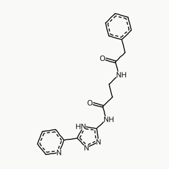 O=C(Cc1ccccc1)NCCC(=O)Nc1nnc(-c2ccccn2)[nH]1